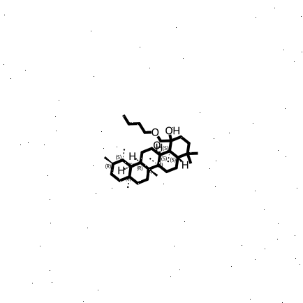 CCCCOC(=O)C1(O)CCC(C)(C)[C@@H]2CC[C@]3(C)[C@H](CC[C@@H]4[C@@H]5[C@@H](C)[C@H](C)CC[C@]5(C)CC[C@]43C)[C@]21C